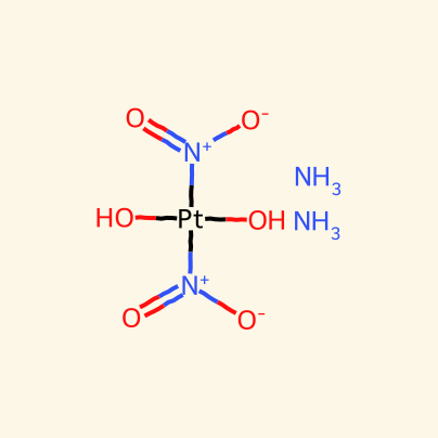 N.N.O=[N+]([O-])[Pt]([OH])([OH])[N+](=O)[O-]